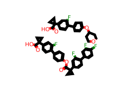 O=C(O)C1(c2ccc(-c3ccc(OC(=O)C4(c5ccc(-c6ccc(F)c(F)c6)c(F)c5)CC4)cc3)c(F)c2)CC1.O=C(O)C1(c2ccc(-c3ccc(OC4CCOCC4)cc3)c(F)c2)CC1